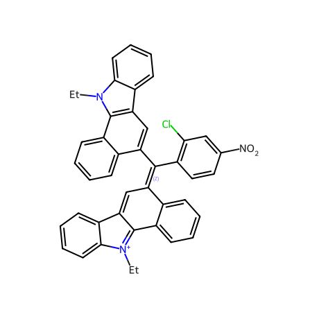 CCn1c2ccccc2c2cc(/C(c3ccc([N+](=O)[O-])cc3Cl)=c3\cc4c(c5ccccc35)=[N+](CC)c3ccccc3-4)c3ccccc3c21